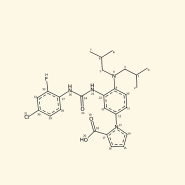 CC(C)CN(CC(C)C)c1ccc(-n2cccc2C(=O)O)cc1NC(=O)Nc1ccc(Cl)cc1F